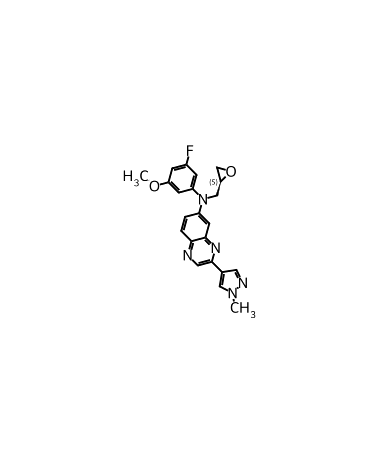 COc1cc(F)cc(N(C[C@H]2CO2)c2ccc3ncc(-c4cnn(C)c4)nc3c2)c1